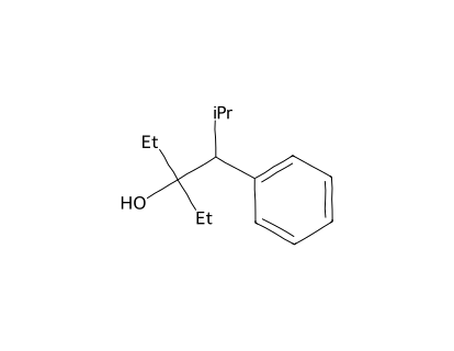 CCC(O)(CC)C(c1ccccc1)C(C)C